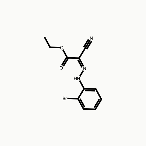 CCOC(=O)C(C#N)=NNc1ccccc1Br